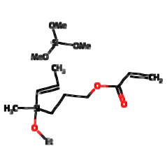 C=CC(=O)OCCC[Si](C)(C=CC)OCC.CO[Si](OC)OC